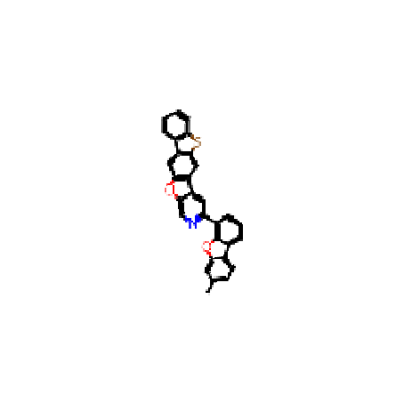 Cc1ccc2c(c1)oc1c(-c3cc4c(cn3)oc3cc5c(cc34)sc3c#cccc35)cccc12